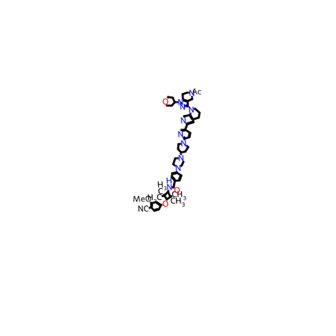 COc1cc(OC2C(C)(C)C(NC(=O)c3ccc(N4CCN(C5CCN(c6ccc(-c7cc8c(cn7)N(c7nn(C9CCOCC9)c9c7CN(C(C)=O)CC9)CCC8)cn6)CC5)CC4)cc3)C2(C)C)ccc1C#N